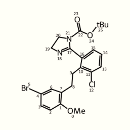 COc1ccc(Br)cc1CCc1c(Cl)cccc1C1=NCCN1C(=O)OC(C)(C)C